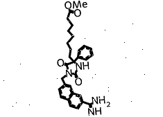 COC(=O)CCCCCCCC1(c2ccccc2)NC(=O)N(Cc2ccc3ccc(C(=N)N)cc3c2)C1=O